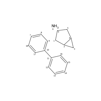 C1CC2CC2C1.N.c1ccc(-c2ccccc2)cc1